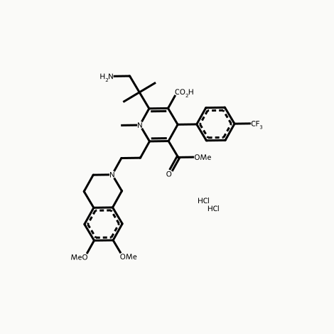 COC(=O)C1=C(CCN2CCc3cc(OC)c(OC)cc3C2)N(C)C(C(C)(C)CN)=C(C(=O)O)C1c1ccc(C(F)(F)F)cc1.Cl.Cl